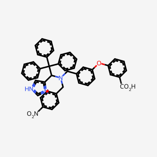 O=C(O)c1cccc(Oc2cccc(CN(Cc3ccc([N+](=O)[O-])cc3)C(c3c[nH]cn3)C(c3ccccc3)(c3ccccc3)c3ccccc3)c2)c1